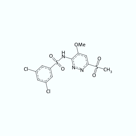 COc1cc(S(C)(=O)=O)nnc1NS(=O)(=O)c1cc(Cl)cc(Cl)c1